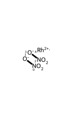 O=[N+]([O-])[O-].O=[N+]([O-])[O-].[Rh+2]